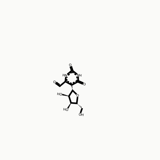 O=Cc1[nH]c(=O)[nH]c(=O)c1[C@@H]1O[C@H](CO)[C@@H](O)[C@H]1O